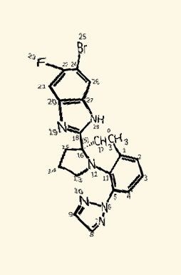 Cc1cc[c]c(-n2nccn2)c1N1CCC[C@@]1(C)c1nc2cc(F)c(Br)cc2[nH]1